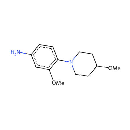 COc1cc(N)ccc1N1CCC(OC)CC1